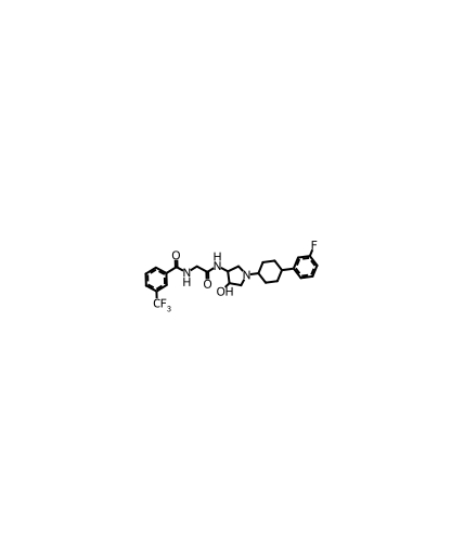 O=C(CNC(=O)c1cccc(C(F)(F)F)c1)NC1CN(C2CCC(c3cccc(F)c3)CC2)CC1O